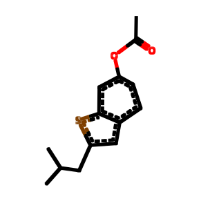 CC(=O)Oc1ccc2cc(CC(C)C)sc2c1